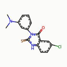 CN(C)c1cccc(-n2c(=S)[nH]c3ccc(Cl)cc3c2=O)c1